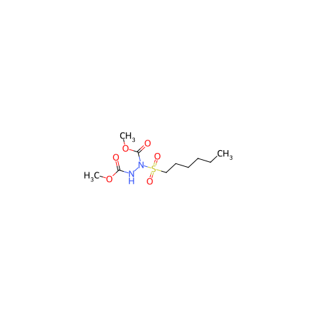 CCCCCCS(=O)(=O)N(NC(=O)OC)C(=O)OC